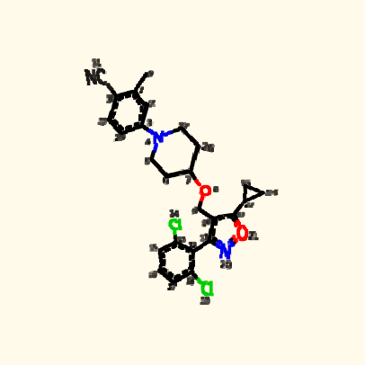 Cc1cc(N2CCC(OCc3c(-c4c(Cl)cccc4Cl)noc3C3CC3)CC2)ccc1C#N